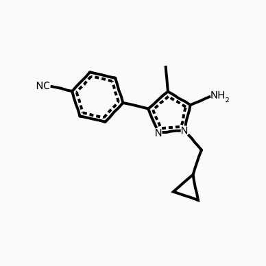 Cc1c(-c2ccc(C#N)cc2)nn(CC2CC2)c1N